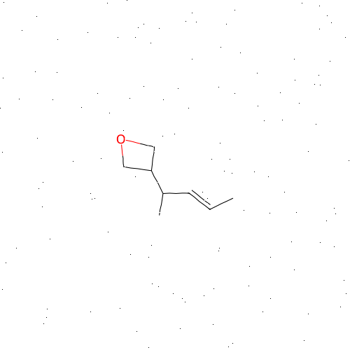 C/C=C/C(C)C1COC1